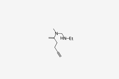 C#CCCC(=C)N(C)CNCC